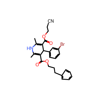 CC1=C(C(=O)OCCC#N)C(c2cccc(Br)c2)C(C(=O)OCCCc2ccccc2)=C(C)N1